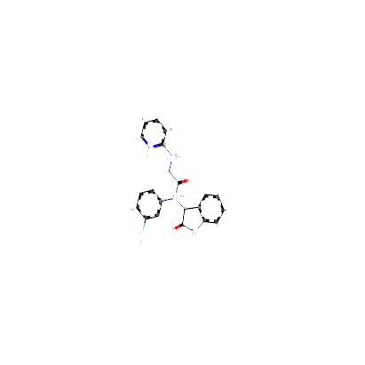 O=C1Nc2ccccc2C1N(C(=O)CNc1ccccn1)c1cccc(F)c1